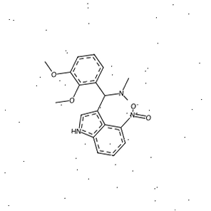 COc1cccc(C(c2c[nH]c3cccc([N+](=O)[O-])c23)N(C)C)c1OC